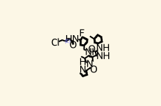 Cc1cccc(NC(=O)C(=N)C2=C(NCc3ccc(F)c(NC(=O)/C=C/CCl)c3)C(C)CN(C(=O)c3ccc[nH]3)C2)c1